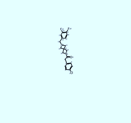 O=C(Cc1ccc(Cl)cc1)N1CC2(CN(Cc3ccc(F)c(F)c3)C2)C1